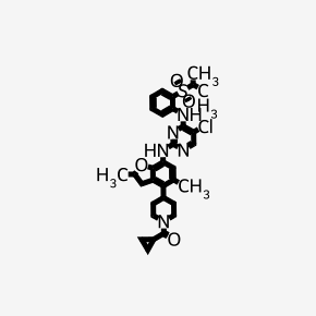 Cc1cc(Nc2ncc(Cl)c(Nc3ccccc3S(=O)(=O)C(C)C)n2)c2c(c1C1CCN(C(=O)C3CC3)CC1)CC(C)O2